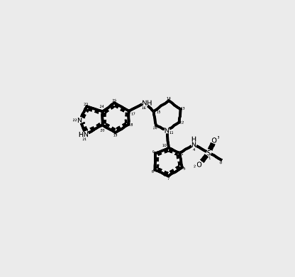 CS(=O)(=O)Nc1ccccc1N1CCCC(Nc2ccc3[nH]ncc3c2)C1